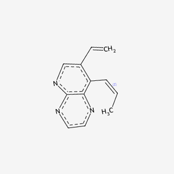 C=Cc1cnc2nccnc2c1/C=C\C